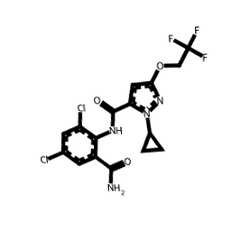 NC(=O)c1cc(Cl)cc(Cl)c1NC(=O)c1cc(OCC(F)(F)F)nn1C1CC1